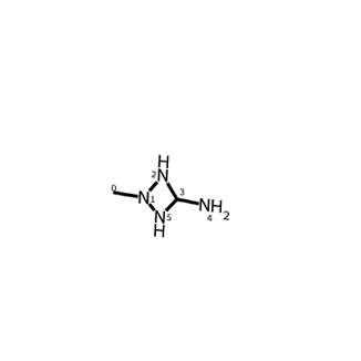 CN1NC(N)N1